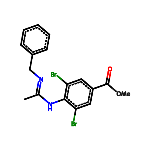 COC(=O)c1cc(Br)c(NC(C)=NCc2ccccc2)c(Br)c1